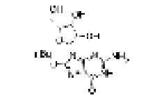 CCCCOc1nc2c(=O)[nH]c(N)nc2n1[C@@H]1O[C@H](CO)[C@H](O)[C@H]1O